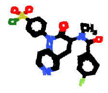 CN(C(=O)c1ccc(F)cc1)C(Cc1cccnc1)C(=O)Nc1ccc(S(=O)(=O)Cl)cc1